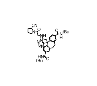 CC(C)(C)NC(=O)c1ccc2c(c1)CCc1cc(C(=O)NC(C)(C)C)ccc1C2(CCNCC(=O)N1CCCC1C#N)c1nnn[nH]1